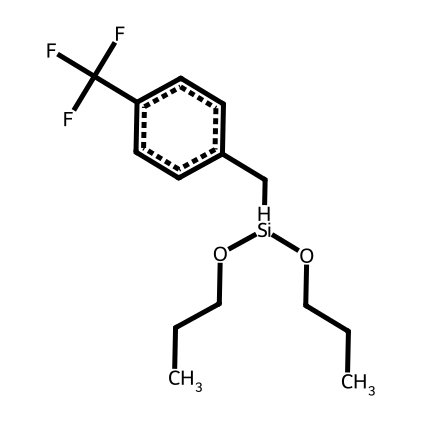 CCCO[SiH](Cc1ccc(C(F)(F)F)cc1)OCCC